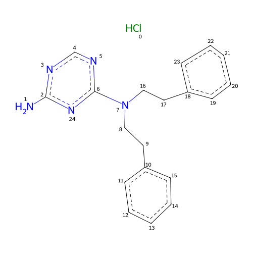 Cl.Nc1ncnc(N(CCc2ccccc2)CCc2ccccc2)n1